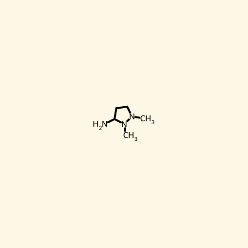 CN1CCC(N)N1C